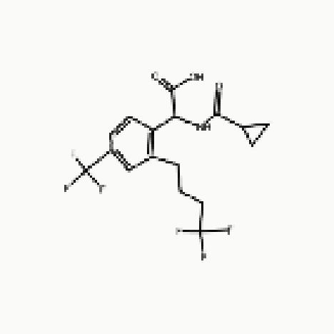 O=C(NC(C(=O)O)c1ccc(C(F)(F)F)cc1CCCC(F)(F)F)C1CC1